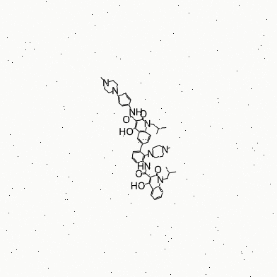 CC(C)Cn1c(=O)c(C(=O)Nc2ccc(N3CCN(C)CC3)cc2)c(O)c2cc(-c3cccc(NC(=O)c4c(O)c5ccccc5n(CC(C)C)c4=O)c3N3CCN(C)CC3)ccc21